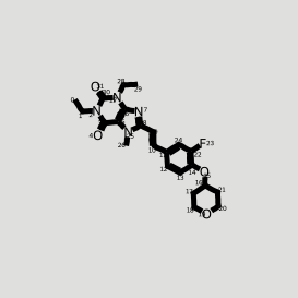 CCn1c(=O)c2c(nc(C=Cc3ccc(OC4CCOCC4)c(F)c3)n2C)n(CC)c1=O